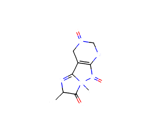 CCCCC1N=C2C3=C(NC[N+](=O)C3)[N+](=O)[N+]2(CCC)C1=O